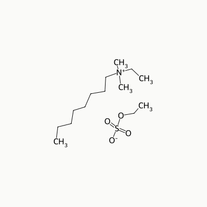 CCCCCCCC[N+](C)(C)CC.CCOS(=O)(=O)[O-]